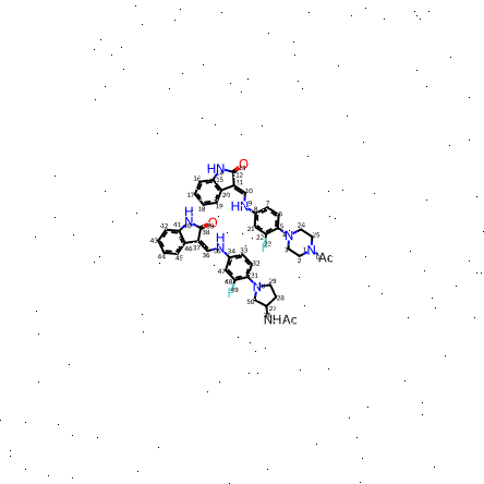 CC(=O)N1CCN(c2ccc(N/C=C3/C(=O)Nc4ccccc43)cc2F)CC1.CC(=O)NC1CCN(c2ccc(N/C=C3\C(=O)Nc4ccccc43)cc2F)C1